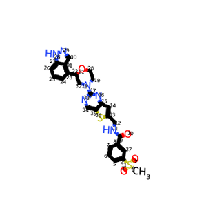 CS(=O)(=O)c1cccc(C(=O)NCc2cc3nc(N4CCOC(c5cccc6[nH]ncc56)C4)ncc3s2)c1